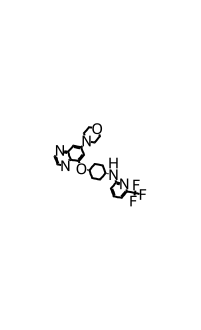 FC(F)(F)c1cccc(N[C@H]2CC[C@@H](Oc3cc(N4CCOCC4)cc4nccnc34)CC2)n1